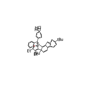 CCC1=CCC(C2(C(C)(C)C)C=CC3=c4ccc(C(C)(C)C)cc4=CC3=[C]2[Zr]=[C](c2ccccc2)c2ccccc2)=C1CC.Cl.Cl